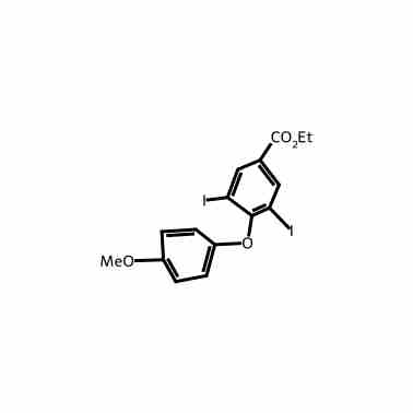 CCOC(=O)c1cc(I)c(Oc2ccc(OC)cc2)c(I)c1